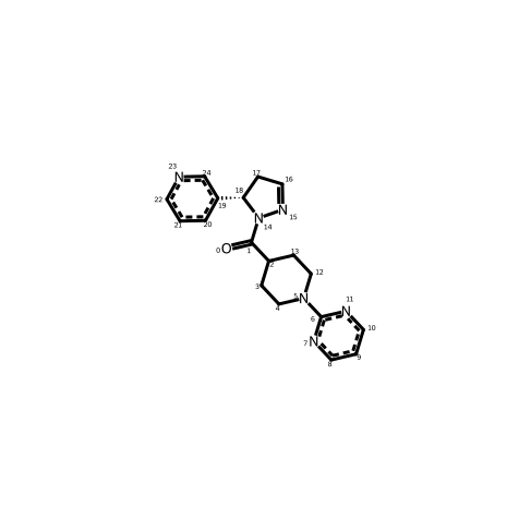 O=C(C1CCN(c2ncccn2)CC1)N1N=CC[C@H]1c1cccnc1